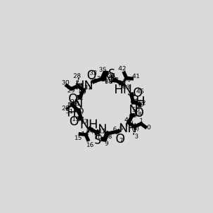 CC[C@H](C)[C@@H]1NC(=O)c2csc(n2)[C@@H](C(C)C)NC(=O)[C@H]2N=C(O[C@@H]2C)[C@H]([C@@H](C)CC)NC(=O)c2csc(n2)[C@@H](C(C)C)NC(=O)[C@@H]2COC1=N2